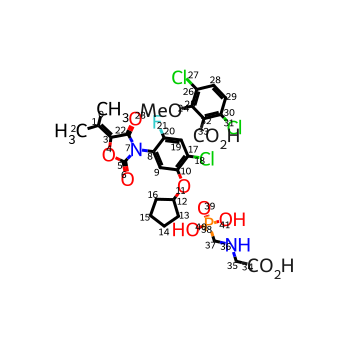 CC(C)=C1OC(=O)N(c2cc(OC3CCCC3)c(Cl)cc2F)C1=O.COc1c(Cl)ccc(Cl)c1C(=O)O.O=C(O)CNCP(=O)(O)O